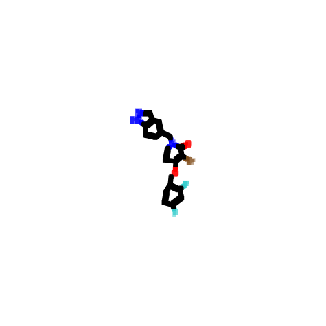 O=c1c(Br)c(OCc2ccc(F)cc2F)ccn1Cc1ccc2[nH]ncc2c1